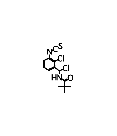 CC(C)(C)C(=O)NC(Cl)c1cccc(N=C=S)c1Cl